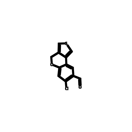 O=Cc1cc2c(cc1Cl)OCc1cscc1-2